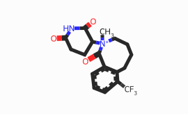 C[N+]1(C2CCC(=O)NC2=O)CCCCc2c(cccc2C(F)(F)F)C1=O